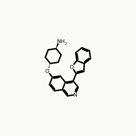 N[C@H]1CC[C@H](Oc2ccc3cncc(-c4cc5ccccc5o4)c3c2)CC1